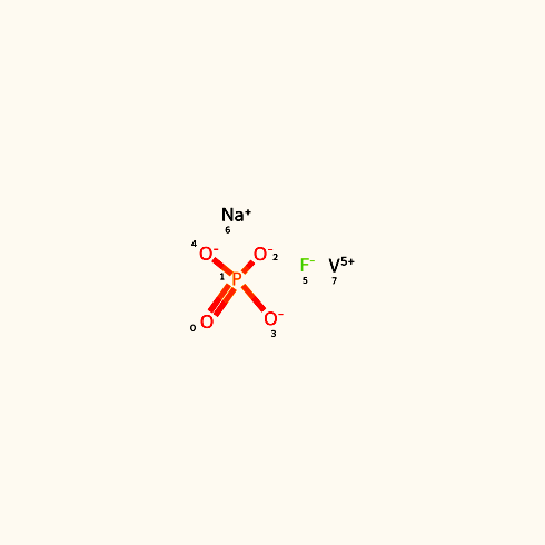 O=P([O-])([O-])[O-].[F-].[Na+].[V+5]